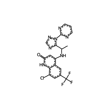 CC(Nc1cc(=O)[nH]c2c(Cl)cc(C(F)(F)F)cc12)c1ncnn1-c1ncccn1